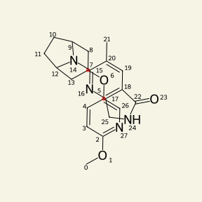 COc1ccc(OC2CC3CCC(C2)N3c2nc3c(cc2C)C(=O)NC3)cn1